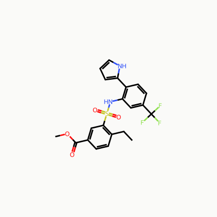 CCc1ccc(C(=O)OC)cc1S(=O)(=O)Nc1cc(C(F)(F)F)ccc1-c1ccc[nH]1